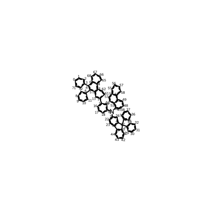 c1ccc(-c2c(-c3ccccc3)c3cc(-c4cccc(N(c5ccc6c(c5)C(c5ccccc5)(c5ccccc5)c5ccccc5-6)c5cccc6c5ccc5ccccc56)c4)ccc3c3ccccc23)cc1